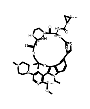 CCn1c(-c2cc(N3CCN(C)CC3)cnc2[C@H](C)OC)c2c3cc(ccc31)-c1csc(n1)C[C@H](NC(=O)[C@H]1C[C@@H]1C)C(=O)N1CCN[C@H](N1)C(=O)OCC(C)(C)C2